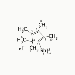 CC1=C(C)C(C)(C)[C]([Rh+2])=C1C.[I-].[I-]